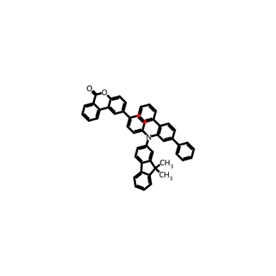 CC1(C)c2ccccc2-c2ccc(N(c3ccc(-c4ccc5oc(=O)c6ccccc6c5c4)cc3)c3cc(-c4ccccc4)ccc3-c3ccccc3)cc21